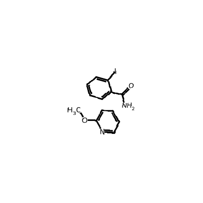 COc1ccccn1.NC(=O)c1ccccc1I